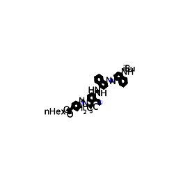 C=Cc1c(/N=N/c2ccc(C(=O)OCCCCCC)cc2)ccc(NNc2ccc(/N=N/c3ccc(NC(C)CC)c4ccccc34)c3ccccc23)c1/C=C\C